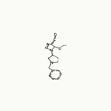 CCOC1C(=C=O)N=NN1C1CCN(Cc2ccccc2)C1